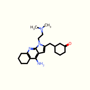 CN(C)CCn1c(CC2CCCC(=O)C2)cc2c(N)c3c(nc21)CCCC3